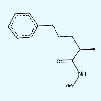 CCCNC(=O)[C@H](C)CCCc1ccccc1